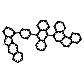 c1ccc2cc3c(cc2c1)oc1cccc(-c2ccc(-c4c5ccccc5c(-c5cc6ccc7ccccc7c6c6ccccc56)c5ccccc45)cc2)c13